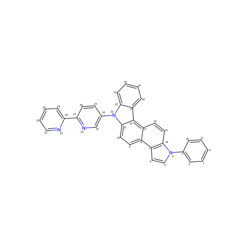 c1ccc(-n2ccc3c4ccc5c(c4ccc32)c2ccccc2n5-c2ccc(-c3ccccn3)nc2)cc1